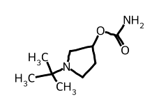 CC(C)(C)N1CCC(OC(N)=O)C1